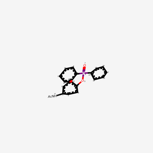 CC(=O)Nc1ccc(OP(=O)(c2ccccc2)c2ccccc2)cc1